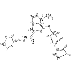 Cn1ccc2nc(C(=O)NCC3CCOCC3)cc(Cc3ccc(-c4cscn4)cc3)c21